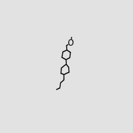 CCCCC1CCC(C2CCC(COC)CC2)CC1